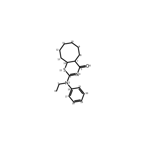 CCN(C1=NC(=O)C2CCCCCCC2S1)c1ccccc1